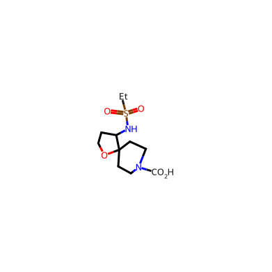 CCS(=O)(=O)NC1CCOC12CCN(C(=O)O)CC2